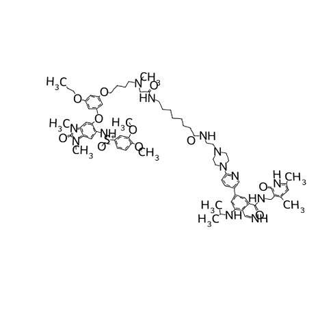 CCCOc1cc(OCCCCN(C)CC(=O)NCCCCCCCC(=O)NCCN2CCN(c3ccc(-c4cc(NC(C)C)c(C=N)c(C(=O)NCc5c(C)cc(C)[nH]c5=O)c4)cn3)CC2)cc(Oc2cc3c(cc2N[S+]([O-])c2ccc(OC)c(OC)c2)n(C)c(=O)n3C)c1